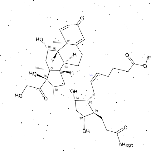 CCCCCCCC(=O)CC[C@@H]1[C@@H](C/C=C\CCCC(=O)OC(C)C)[C@@H](O)C[C@H]1O.C[C@H]1C[C@H]2[C@@H]3CCC4=CC(=O)C=C[C@]4(C)[C@@]3(F)[C@@H](O)C[C@]2(C)[C@@]1(O)C(=O)CO